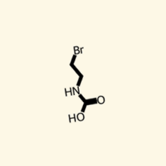 O=C(O)NCCBr